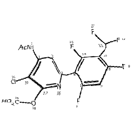 CC(=O)Nc1cc(-c2c(F)cc(F)c(C(F)F)c2F)nc(OC(=O)O)c1Cl